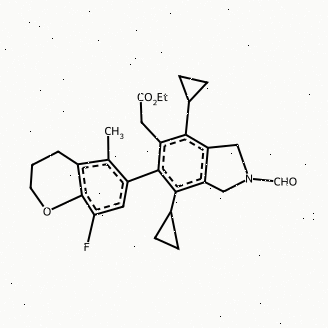 CCOC(=O)Cc1c(-c2cc(F)c3c(c2C)CCCO3)c(C2CC2)c2c(c1C1CC1)CN(C=O)C2